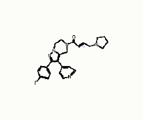 O=C(/C=C/CN1CCCC1)N1CCn2nc(-c3ccc(F)cc3)c(-c3ccncc3)c2C1